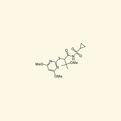 COc1cc(OC)nc(SC(C(=O)NS(=O)(=O)C2CC2)C(C)(C)OC)n1